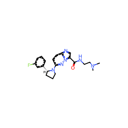 CN(C)CCNC(=O)c1cnc2ccc(N3CCC[C@@H]3c3cccc(F)c3)nn12